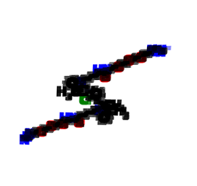 CC1(C)/C(=C\C=C2/CCCC(/C=C/C3N(CCCCCC(=O)NCCOCCOCCOCCN=[N+]=[N-])c4ccccc4C3(C)C)=C2Cl)N(CCCCCC(=O)NCCOCCOCCOCCN=[N+]=[N-])c2ccccc21